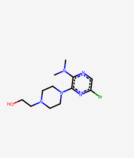 CN(C)c1ncc(Br)nc1N1CCN(CCO)CC1